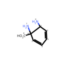 NC1C=CC=CC1(N)C(=O)O